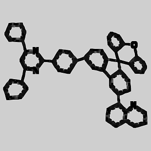 c1ccc(-c2cc(-c3ccccc3)nc(-c3ccc(-c4ccc5c(c4)-c4cc(-c6cccc7cccnc67)ccc4C54c5ccccc5Oc5ccccc54)cc3)n2)cc1